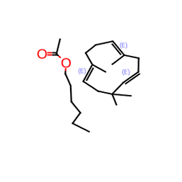 C/C1=C\CC/C(C)=C/CC(C)(C)/C=C/C1.CCCCCCOC(C)=O